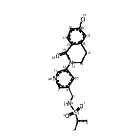 CC(C)S(=O)(=O)NCc1cncc(N2CCc3cc(Cl)ccc3C2=O)c1